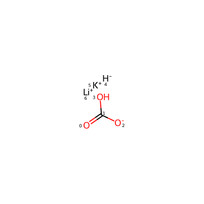 O=C([O-])O.[H-].[K+].[Li+]